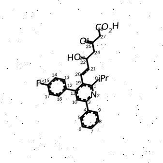 CC(C)c1nc(-c2ccccc2)cc(-c2ccc(F)cc2)c1C=CC(O)CC(=O)CC(=O)O